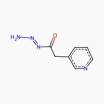 NN=NC(=O)Cc1cccnc1